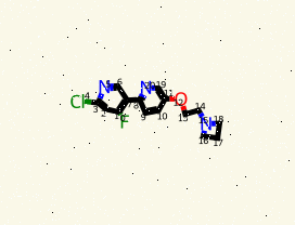 Fc1cc(Cl)ncc1-c1ccc(OCCN2CCC2)cn1